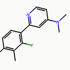 Cc1c(F)ccc(-c2cc(N(C)C)ccn2)c1F